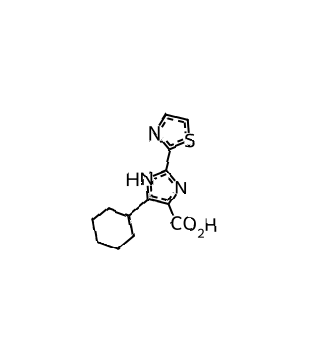 O=C(O)c1nc(-c2nccs2)[nH]c1C1CCCCC1